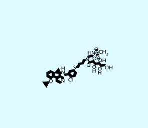 CS(=O)(=O)NCCN(CCCCSc1ccc(Cl)c(CNC2(c3cnccc3-c3ccccc3OC3CC3)CC2)c1)C(=O)[C@@H](O)[C@@H](O)[C@H](O)[C@@H](O)CO